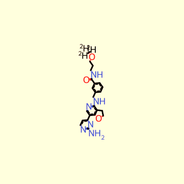 [2H]C([2H])([2H])OCCCNC(=O)c1cccc(CNc2ncc(-c3ccnc(N)n3)c3c2CCO3)c1